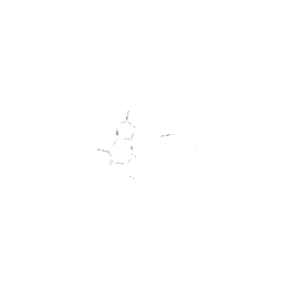 CC(C)=CCn1c(=O)sc2c(=O)[nH]c(N)nc21